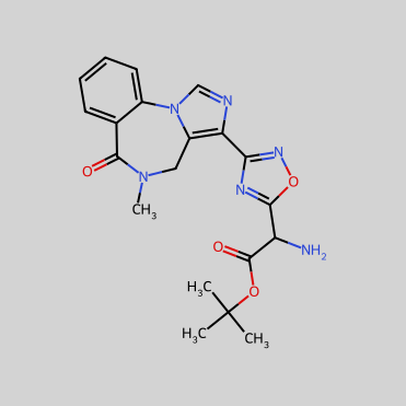 CN1Cc2c(-c3noc(C(N)C(=O)OC(C)(C)C)n3)ncn2-c2ccccc2C1=O